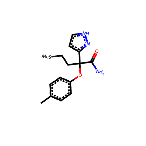 CSCCC(Oc1ccc(C)cc1)(C(N)=O)c1cc[nH]n1